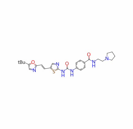 CC(C)(C)c1cnc(/C=C/c2cnc(NC(=O)Nc3ccc(C(=O)NCCN4CCCC4)cc3)s2)o1